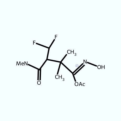 CNC(=O)C(C(F)F)C(C)(C)/C(=N/O)OC(C)=O